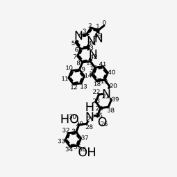 Cc1cc2ncc3cc(-c4ccccc4)c(-c4ccc(CN5CCC(C(=O)NCC(O)c6cccc(O)c6)CC5)cc4)nc3n2n1